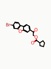 O=C(COC(=O)C1CCCC1)c1ccc2c(c1)oc1cc(Br)ccc12